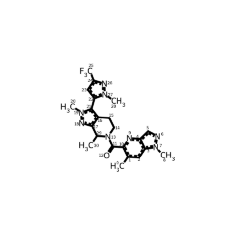 Cc1cc2c(cnn2C)nc1C(=O)N1CCc2c(nn(C)c2-c2cc(C(F)(F)F)nn2C)C1C